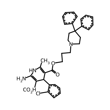 CC1=C(C(=O)OCCCN2CCC(c3ccccc3)(c3ccccc3)CC2)C(c2ccccc2Cl)C(C(=O)O)=C(N)N1